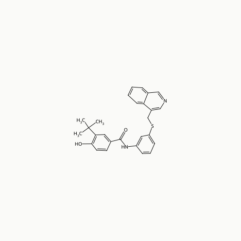 CC(C)(C)c1cc(C(=O)Nc2cccc(SCc3cncc4ccccc34)c2)ccc1O